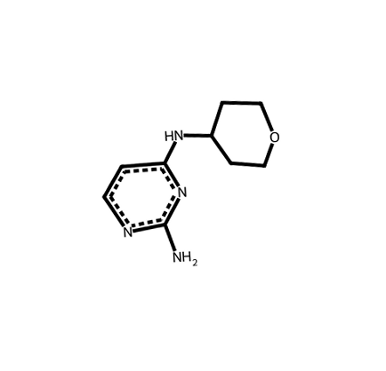 Nc1nccc(NC2CCOCC2)n1